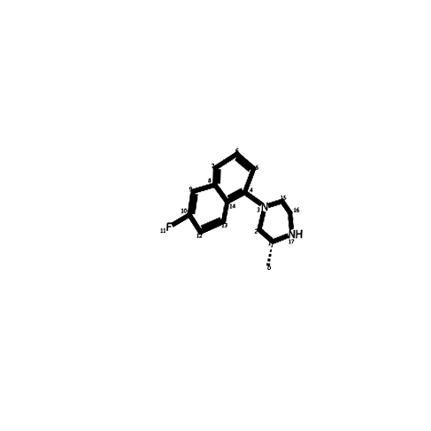 C[C@@H]1CN(c2cccc3cc(F)ccc23)CCN1